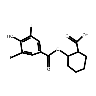 O=C(OC1CCCCC1C(=O)O)c1cc(I)c(O)c(I)c1